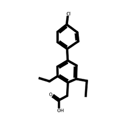 CCc1cc(-c2ccc(Cl)cc2)cc(CC)c1CC(=O)O